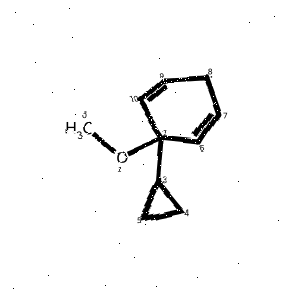 COC1(C2CC2)C=C[CH]C=C1